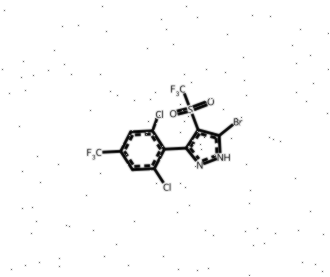 O=S(=O)(c1c(-c2c(Cl)cc(C(F)(F)F)cc2Cl)n[nH]c1Br)C(F)(F)F